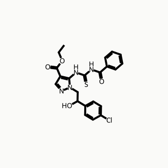 CCOC(=O)c1cnn(CC(O)c2ccc(Cl)cc2)c1NC(=S)NC(=O)c1ccccc1